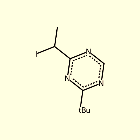 CC(I)c1ncnc(C(C)(C)C)n1